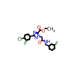 CCOC(=O)c1nc(-c2ccc(Cl)c(F)c2)nn1CC(=O)NCc1cccc(F)c1